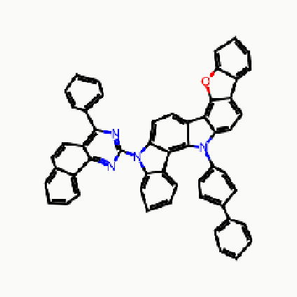 c1ccc(-c2ccc(-n3c4ccc5c6ccccc6oc5c4c4ccc5c(c6ccccc6n5-c5nc(-c6ccccc6)c6ccc7ccccc7c6n5)c43)cc2)cc1